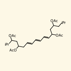 CC(=O)OC(/C=C/C=C/C=C/CC(CC(OC(C)=O)C(C)C)OC(C)=O)CC(CC(C)C)OC(C)=O